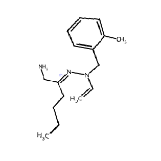 C=CN(Cc1ccccc1C)/N=C(/CN)CCCC